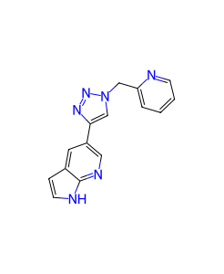 c1ccc(Cn2cc(-c3cnc4[nH]ccc4c3)nn2)nc1